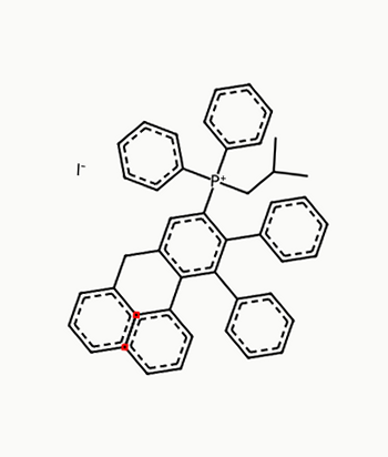 CC(C)C[P+](c1ccccc1)(c1ccccc1)c1cc(Cc2ccccc2)c(-c2ccccc2)c(-c2ccccc2)c1-c1ccccc1.[I-]